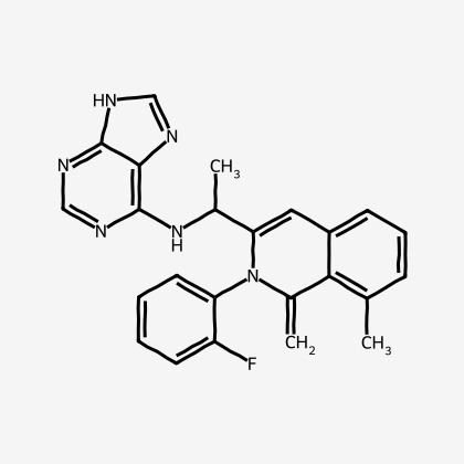 C=C1c2c(C)cccc2C=C(C(C)Nc2ncnc3[nH]cnc23)N1c1ccccc1F